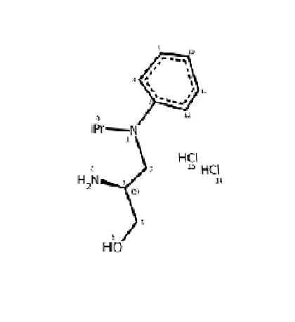 CC(C)N(C[C@H](N)CO)c1ccccc1.Cl.Cl